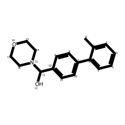 Cc1ccccc1-c1ccc(C(O)N2CCOCC2)cc1